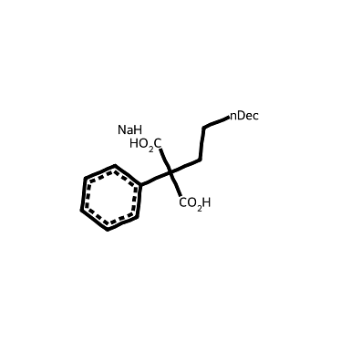 CCCCCCCCCCCCC(C(=O)O)(C(=O)O)c1ccccc1.[NaH]